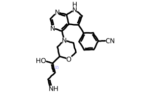 N#Cc1cccc(-c2c[nH]c3ncnc(N4CCOC(/C(O)=C/C=N)C4)c23)c1